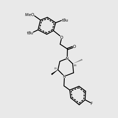 COc1cc(C(C)(C)C)c(OCC(=O)N2C[C@H](C)N(Cc3ccc(F)cc3)C[C@H]2C)cc1C(C)(C)C